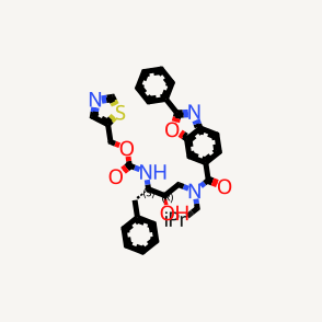 CC(C)CN(C[C@@H](O)[C@H](Cc1ccccc1)NC(=O)OCc1cncs1)C(=O)c1ccc2nc(-c3ccccc3)oc2c1